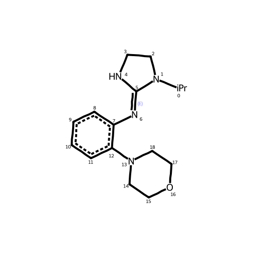 CC(C)N1CCN/C1=N\c1ccccc1N1CCOCC1